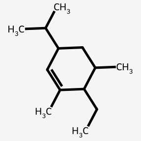 CCC1C(C)=CC(C(C)C)CC1C